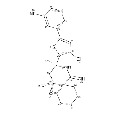 C[C@@]1(c2sc(-c3cccc(C#N)c3)cc2Cl)CS(=O)(=O)C2(CCOCC2)C(=N)N1